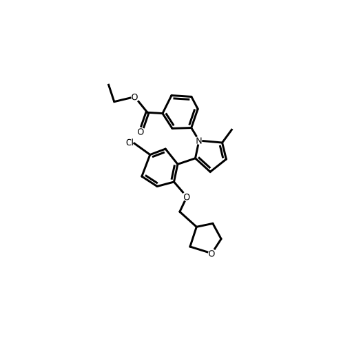 CCOC(=O)c1cccc(-n2c(C)ccc2-c2cc(Cl)ccc2OCC2CCOC2)c1